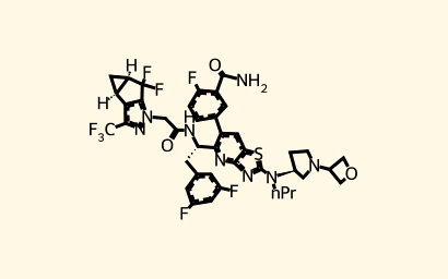 CCCN(c1nc2nc([C@H](Cc3cc(F)cc(F)c3)NC(=O)Cn3nc(C(F)(F)F)c4c3C(F)(F)[C@@H]3C[C@H]43)c(-c3ccc(F)c(C(N)=O)c3)cc2s1)[C@H]1CCN(C2COC2)C1